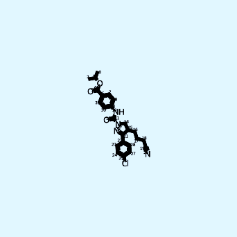 CC(C)OC(=O)c1ccc(NC(=O)N2CC(CCCC#N)C(c3ccc(Cl)cc3)=N2)cc1